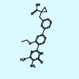 CCOc1cc(-c2cccc(CC3(C(=O)O)CC3)c2)ccc1-c1nc(N)c(N)c(=O)[nH]1